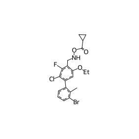 CCOc1cc(-c2cccc(Br)c2C)c(Cl)c(F)c1CNOC(=O)C1CC1